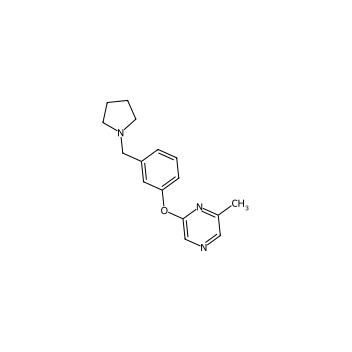 Cc1cncc(Oc2cccc(CN3CCCC3)c2)n1